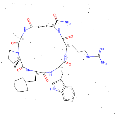 C[C@@H]1NC(=O)CC[C@@H](C(N)=O)NC(=O)[C@H](CCCNC(=N)N)NC(=O)[C@H](Cc2c[nH]c3ccccc23)NC(=O)[C@@H](CC2CCCCC2)NC(=O)[C@@H]2CCCN2C1=O